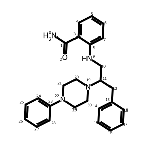 NC(=O)c1ccccc1NCC(Cc1ccccc1)N1CCN(c2ccccc2)CC1